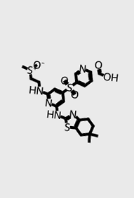 C[S+]([O-])CCNc1cc(S(=O)(=O)c2cccnc2)cc(Nc2nc3c(s2)CC(C)(C)CC3)n1.O=CO